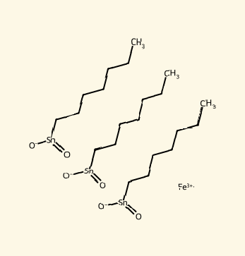 CCCCCC[CH2][Sn](=[O])[O-].CCCCCC[CH2][Sn](=[O])[O-].CCCCCC[CH2][Sn](=[O])[O-].[Fe+3]